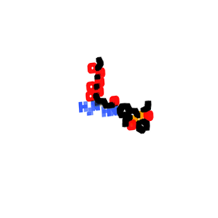 C=CCP(=O)(CC=C)C(Cc1ccc(NC(=O)CC[C@H](N)C(=O)OC(=O)OCOC(=O)CC)cc1)P(=O)(CC=C)CC=C